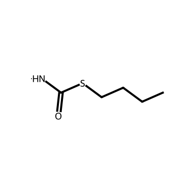 CCCCSC([NH])=O